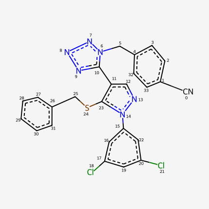 N#Cc1ccc(Cn2nnnc2-c2cnn(-c3cc(Cl)cc(Cl)c3)c2SCc2ccccc2)cc1